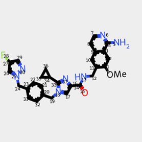 COc1cc2c(N)nccc2cc1CNC(=O)c1cn(Cc2ccc(Cn3cc(F)cn3)cc2)c(C2CC2)n1